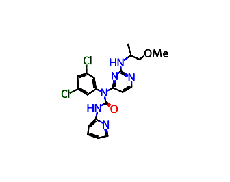 COC[C@H](C)Nc1nccc(N(C(=O)Nc2ccccn2)c2cc(Cl)cc(Cl)c2)n1